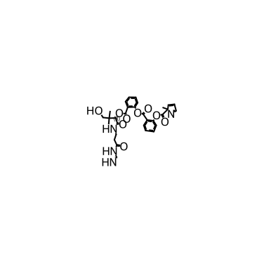 CC1(C(=O)Oc2ccccc2C(=O)Oc2ccccc2C(=O)O[C@@H](C(=O)NCCC(=O)NC=N)C(C)(C)CO)C=CC=N1